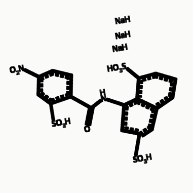 O=C(Nc1cc(S(=O)(=O)O)cc2cccc(S(=O)(=O)O)c12)c1ccc([N+](=O)[O-])cc1S(=O)(=O)O.[NaH].[NaH].[NaH]